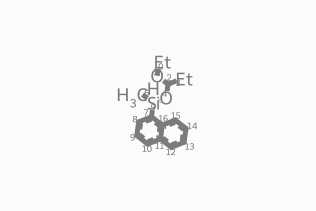 CCOC(CC)O[SiH](C)c1cccc2ccccc12